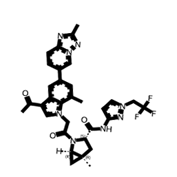 CC(=O)c1cn(CC(=O)N2[C@H](C(=O)Nc3ccn(CC(F)(F)F)n3)C[C@@]3(C)C[C@@H]23)c2c(C)cc(-c3ccc4nc(C)nn4c3)cc12